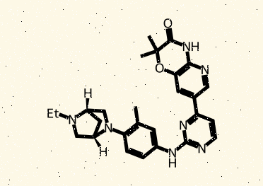 CCN1C[C@@H]2C[C@H]1CN2c1ccc(Nc2nccc(-c3cnc4c(c3)OC(C)(C)C(=O)N4)n2)cc1C